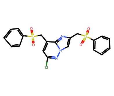 O=S(=O)(Cc1cn2nc(Cl)cc(CS(=O)(=O)c3ccccc3)c2n1)c1ccccc1